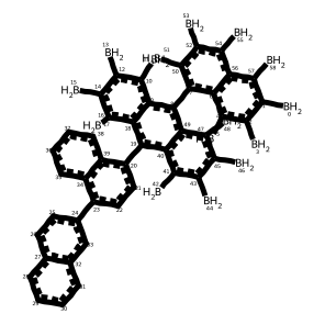 Bc1c(B)c(B)c2c(-c3c4c(B)c(B)c(B)c(B)c4c(-c4ccc(-c5ccc6ccccc6c5)c5ccccc45)c4c(B)c(B)c(B)c(B)c34)c(B)c(B)c(B)c2c1B